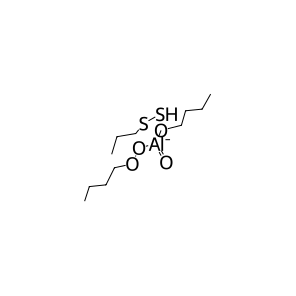 CCCCO[O][Al-](=[O])[O]CCCC.CCCSS